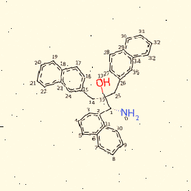 N[C@H](c1cccc2ccccc12)C(O)(Cc1ccc2ccccc2c1)Cc1ccc2ccccc2c1